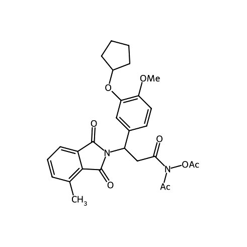 COc1ccc(C(CC(=O)N(OC(C)=O)C(C)=O)N2C(=O)c3cccc(C)c3C2=O)cc1OC1CCCC1